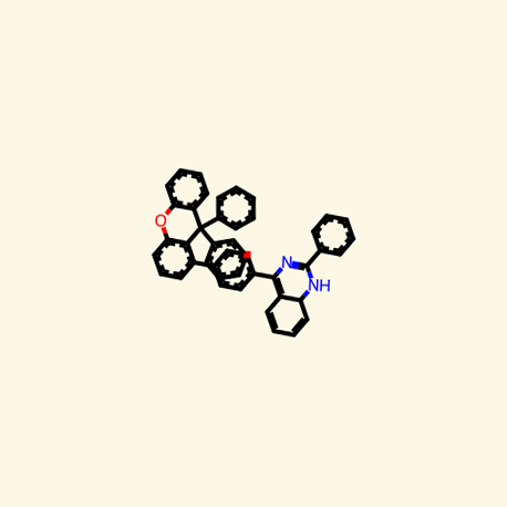 C1=CC2=C(c3ccc(-c4cccc5c4C(c4ccccc4)(c4ccccc4)c4ccccc4O5)cc3)N=C(c3ccccc3)NC2C=C1